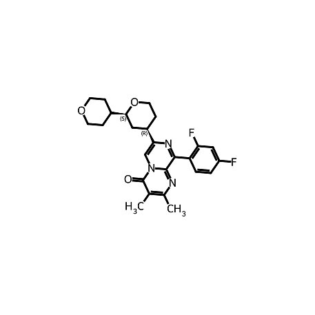 Cc1nc2c(-c3ccc(F)cc3F)nc([C@@H]3CCO[C@H](C4CCOCC4)C3)cn2c(=O)c1C